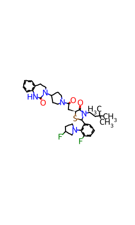 CC(C)(C)CCN1C(=O)[C@H](CC(=O)N2CCC(N3CCc4ccccc4NC3=O)CC2)SC1c1cccc(F)c1N1CCC(F)C1